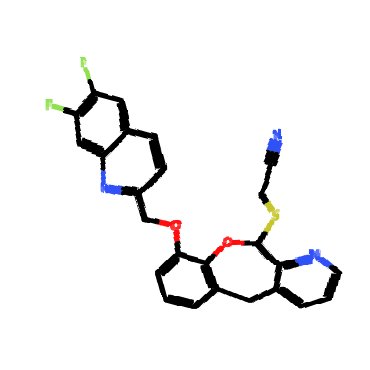 N#CCSC1Oc2c(cccc2OCc2ccc3cc(F)c(F)cc3n2)Cc2cccnc21